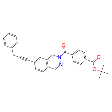 CC(C)(C)OC(=O)c1ccc(C(=O)N2Cc3cc(C#CCc4ccccc4)ccc3C=N2)cc1